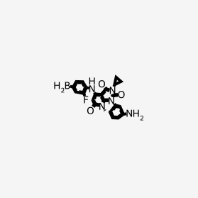 Bc1ccc(Nc2cc(=O)n(C)c3c2c(=O)n(C2CC2)c(=O)n3-c2cccc(N)c2)c(F)c1